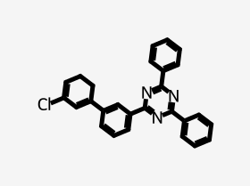 ClC1=CCCC(c2cccc(-c3nc(-c4ccccc4)nc(-c4ccccc4)n3)c2)=C1